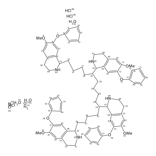 COc1cc2c(cc1Oc1ccccc1)C(CCCCC(CCCCC(CCCCC1NCCc3cc(OC)c(Oc4ccccc4)cc31)C1NCCc3cc(OC)c(Oc4ccccc4)cc31)C1NCCc3cc(OC)c(Oc4ccccc4)cc31)NCC2.Cl.Cl.Cl.Cl.O.O.O.O